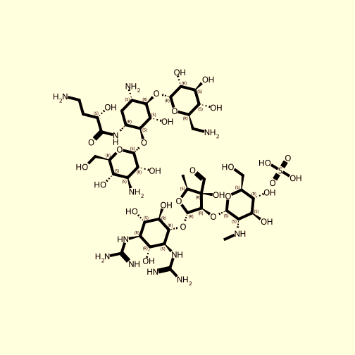 CN[C@@H]1[C@H](O[C@H]2[C@H](O[C@H]3[C@H](O)[C@@H](O)[C@H](NC(=N)N)[C@@H](O)[C@@H]3NC(=N)N)O[C@@H](C)[C@]2(O)C=O)O[C@@H](CO)[C@H](O)[C@H]1O.NCC[C@H](O)C(=O)N[C@@H]1C[C@H](N)[C@@H](O[C@H]2O[C@H](CN)[C@@H](O)[C@H](O)[C@H]2O)[C@H](O)[C@H]1O[C@H]1O[C@H](CO)[C@@H](O)[C@H](N)[C@H]1O.O=S(=O)(O)O